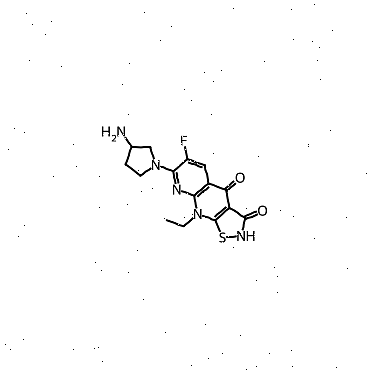 CCn1c2nc(N3CCC(N)C3)c(F)cc2c(=O)c2c(=O)[nH]sc21